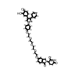 O=C1CCC(N2Cc3cc(OCCOCCOCCOCCOc4ccc(-n5cc(-c6ccc(Cl)c(O)c6)c(-c6ccncc6)n5)cc4)ccc3C2=O)C(=O)N1